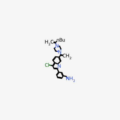 C=C(CCCC)N1CCN(C(=C)c2ccc3c(Cl)cc(-c4cccc(CN)c4)nc3c2)CC1